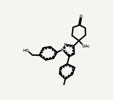 CC(=O)OC1(c2cc(-c3ccc(C)cc3)n(-c3ccc(CO)cc3)n2)CCC(=O)CC1